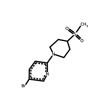 CS(=O)(=O)C1CCN(c2ccc(Br)cn2)CC1